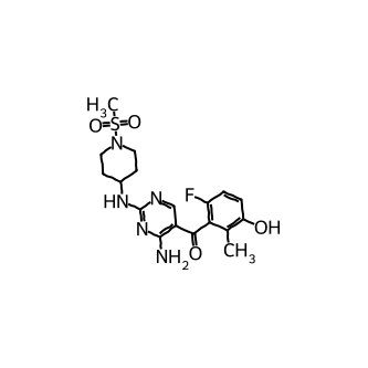 Cc1c(O)ccc(F)c1C(=O)c1cnc(NC2CCN(S(C)(=O)=O)CC2)nc1N